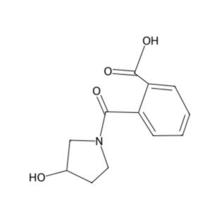 O=C(O)c1ccccc1C(=O)N1CCC(O)C1